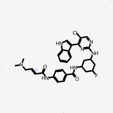 CN(C)C/C=C/C(=O)Nc1ccc(C(=O)NC2CC(F)CC(Nc3ncc(Cl)c(-c4c[nH]c5ccccc45)n3)C2)cc1